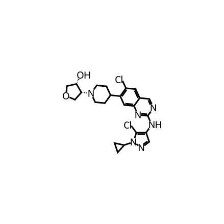 O[C@H]1COC[C@H]1N1CCC(c2cc3nc(Nc4cnn(C5CC5)c4Cl)ncc3cc2Cl)CC1